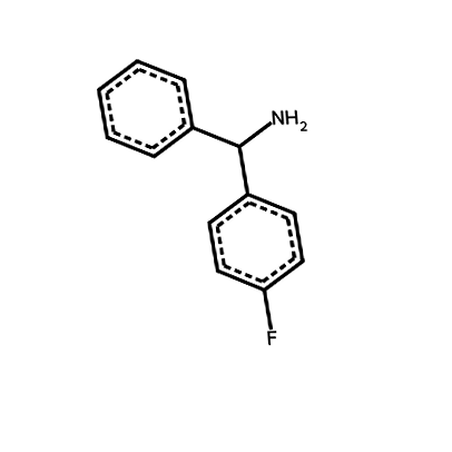 NC(c1ccccc1)c1ccc(F)cc1